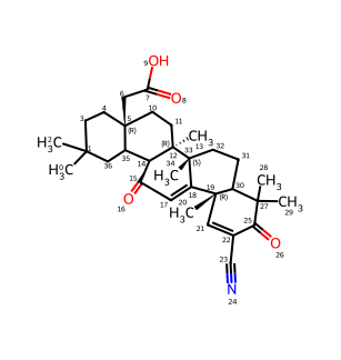 CC1(C)CC[C@]2(CC(=O)O)CC[C@]3(C)C(C(=O)C=C4[C@@]5(C)C=C(C#N)C(=O)C(C)(C)C5CC[C@]43C)C2C1